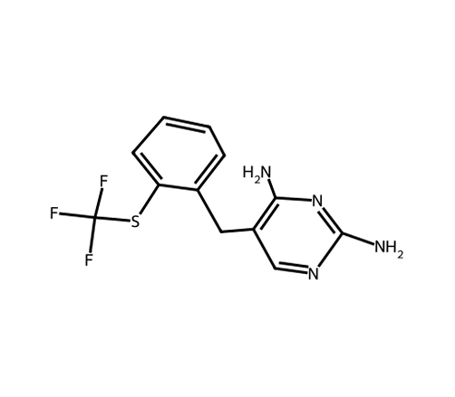 Nc1ncc(Cc2ccccc2SC(F)(F)F)c(N)n1